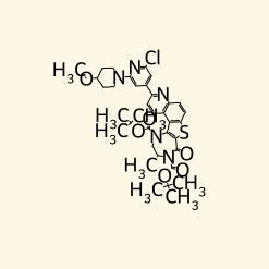 COC1CCN(c2cc(-c3ccc4c(ccc5sc6c(c54)N(C(=O)OC(C)(C)C)C[C@@H](C)N(C(=O)OC(C)(C)C)C6=O)n3)cc(Cl)n2)CC1